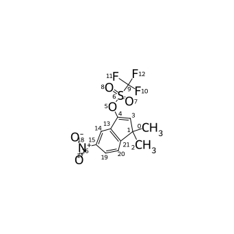 CC1(C)C=C(OS(=O)(=O)C(F)(F)F)c2cc([N+](=O)[O-])ccc21